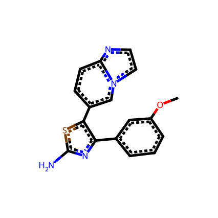 COc1cccc(-c2nc(N)sc2-c2ccc3nccn3c2)c1